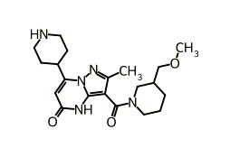 COCC1CCCN(C(=O)c2c(C)nn3c(C4CCNCC4)cc(=O)[nH]c23)C1